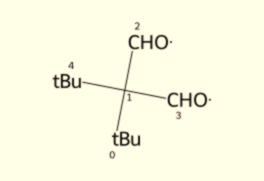 CC(C)(C)C([C]=O)([C]=O)C(C)(C)C